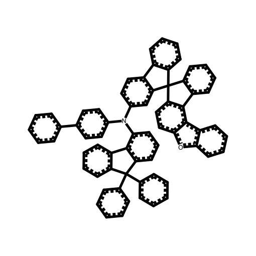 c1ccc(-c2ccc(N(c3ccc4c(c3)C3(c5ccccc5-4)c4ccccc4-c4c3ccc3oc5ccccc5c43)c3cccc4c3-c3ccccc3C4(c3ccccc3)c3ccccc3)cc2)cc1